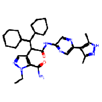 CCn1ncc(C(C(=O)Nc2cnc(-c3c(C)n[nH]c3C)cn2)C(C2CCCCC2)C2CCCCC2)c1C(N)=O